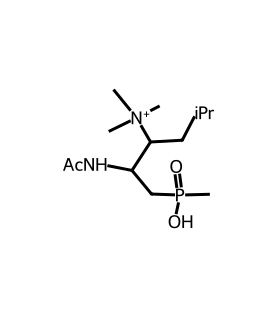 CC(=O)NC(CP(C)(=O)O)C(CC(C)C)[N+](C)(C)C